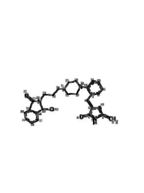 C=c1[nH]c(=O)/c(=C/c2ccccc2N2CCN(CCCN3C(=O)c4ccccc4C3=O)CC2)s1